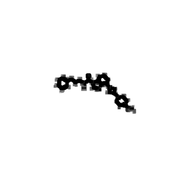 CN1CCN(C2CN(c3cccc4c3ncn4C(=O)NCCCc3ccccc3)C2)CC1